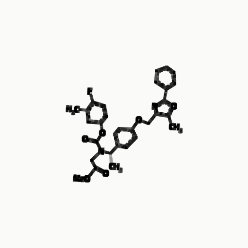 COC(=O)CN(C(=O)Oc1ccc(F)c(C)c1)[C@@H](C)c1ccc(OCc2nc(-c3ccccc3)oc2C)cc1